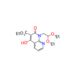 CCOC(=O)c1c(O)c2cccnc2n(CC(OCC)OCC)c1=O